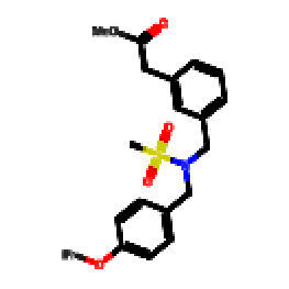 COC(=O)Cc1cccc(CN(Cc2ccc(OC(C)C)cc2)S(C)(=O)=O)c1